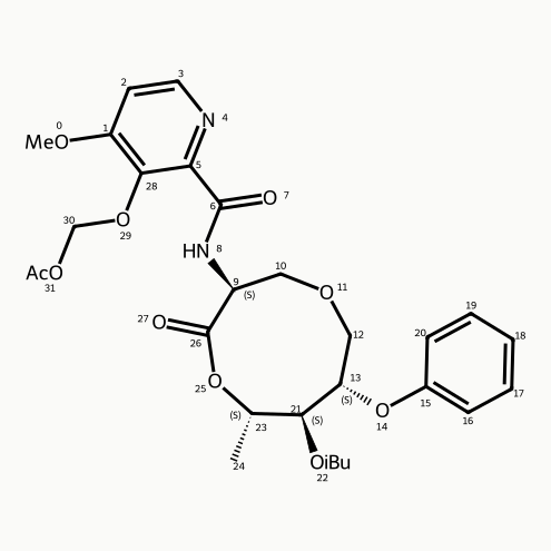 COc1ccnc(C(=O)N[C@H]2COC[C@H](Oc3ccccc3)[C@@H](OCC(C)C)[C@H](C)OC2=O)c1OCOC(C)=O